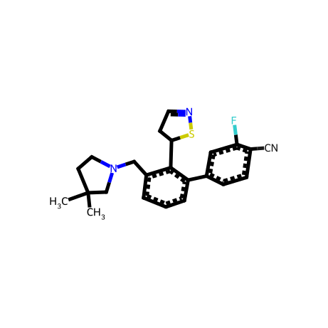 CC1(C)CCN(Cc2cccc(-c3ccc(C#N)c(F)c3)c2C2CC=NS2)C1